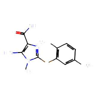 CCCCn1c(Sc2cc(OC)ccc2OC)nc(C(N)=O)c1N